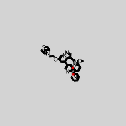 COc1ccc(CN2C3CC2CN(c2ccc(-c4cc(OCCN5C6CSCC5C6)cn5ncc(C#N)c45)cn2)C3)cn1